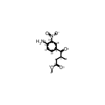 COC(=O)CC(C)C(=O)c1ccc(N)c([N+](=O)[O-])c1